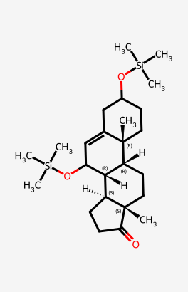 C[C@]12CCC(O[Si](C)(C)C)CC1=CC(O[Si](C)(C)C)[C@@H]1[C@H]2CC[C@]2(C)C(=O)CC[C@@H]12